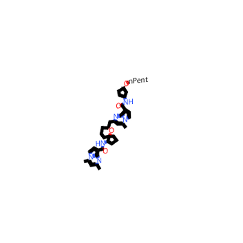 CCCCCO[C@@H]1CCC(NC(=O)c2ccn3c(C)cc(CC4CCCC5(CCCC5NC(=O)c5ccn6c(C)cc(C)nc56)O4)nc23)C1